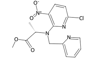 COC(=O)[C@H](C)N(Cc1ccccn1)c1nc(Cl)ccc1[N+](=O)[O-]